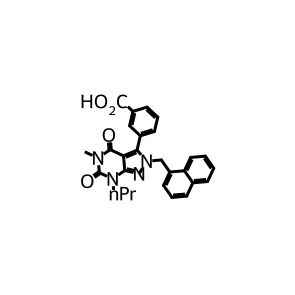 CCCn1c(=O)n(C)c(=O)c2c(-c3cccc(C(=O)O)c3)n(Cc3cccc4ccccc34)nc21